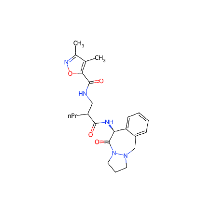 CCCC(CNC(=O)c1onc(C)c1C)C(=O)N[C@@H]1C(=O)N2CCCN2Cc2ccccc21